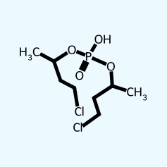 CC(CCCl)OP(=O)(O)OC(C)CCCl